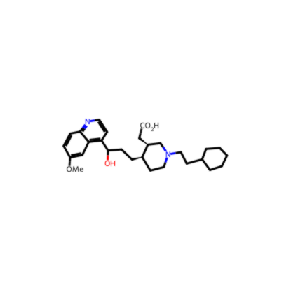 COc1ccc2nccc(C(O)CC[C@@H]3CCN(CCC4CCCCC4)C[C@@H]3CC(=O)O)c2c1